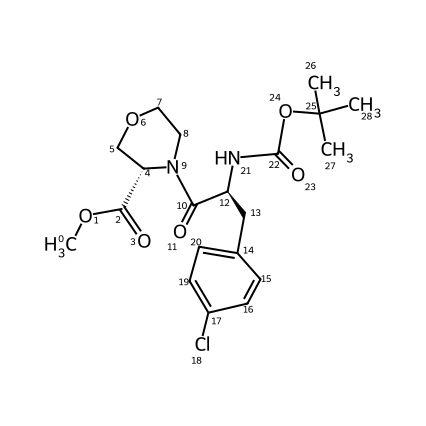 COC(=O)[C@@H]1COCCN1C(=O)[C@H](Cc1ccc(Cl)cc1)NC(=O)OC(C)(C)C